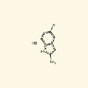 Cl.Nc1cc2cc(Br)ccc2[nH]1